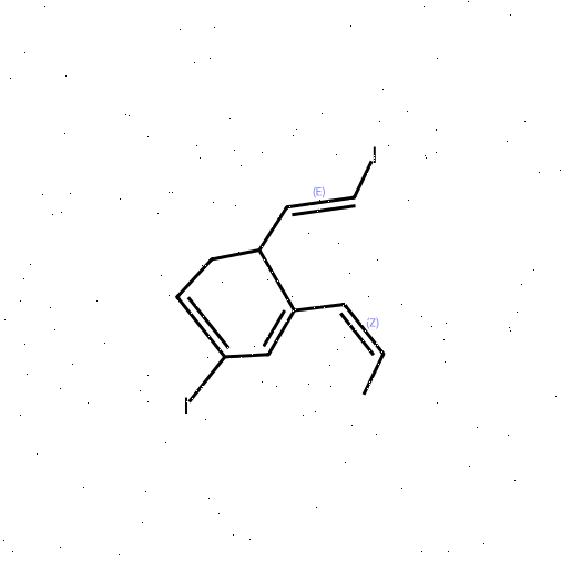 C/C=C\C1=CC(I)=CCC1/C=C/I